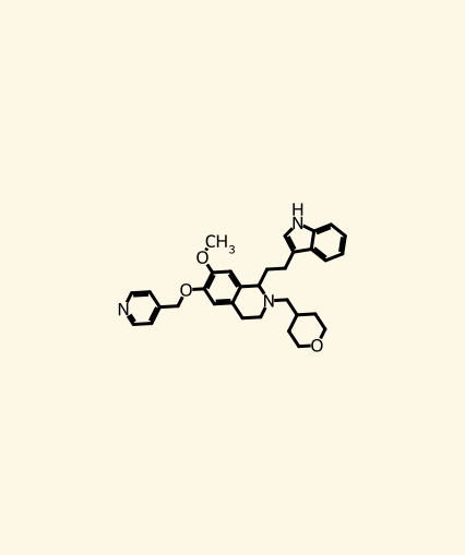 COc1cc2c(cc1OCc1ccncc1)CCN(CC1CCOCC1)C2CCc1c[nH]c2ccccc12